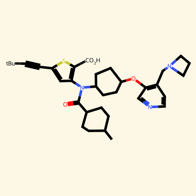 CC1CCC(C(=O)N(c2cc(C#CC(C)(C)C)sc2C(=O)O)C2CCC(Oc3cnccc3CN3CCC3)CC2)CC1